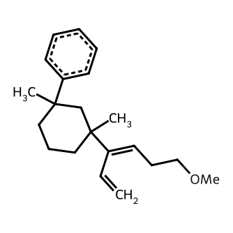 C=C/C(=C\CCOC)C1(C)CCCC(C)(c2ccccc2)C1